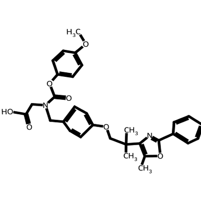 COc1ccc(OC(=O)N(CC(=O)O)Cc2ccc(OCC(C)(C)c3nc(-c4ccccc4)oc3C)cc2)cc1